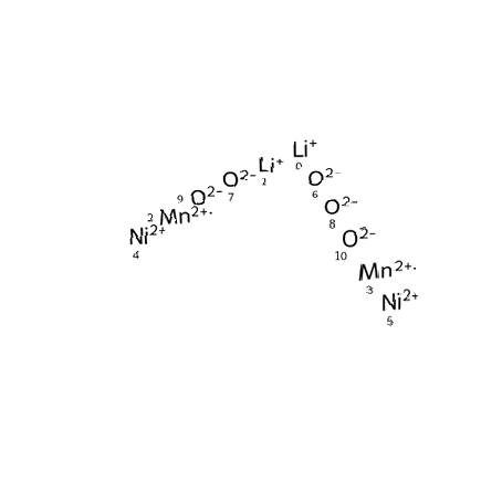 [Li+].[Li+].[Mn+2].[Mn+2].[Ni+2].[Ni+2].[O-2].[O-2].[O-2].[O-2].[O-2]